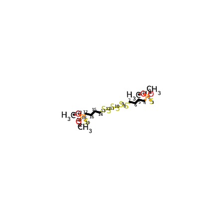 COP(=S)(CCCCSSSSSSCCCCP(=S)(OC)OC)OC